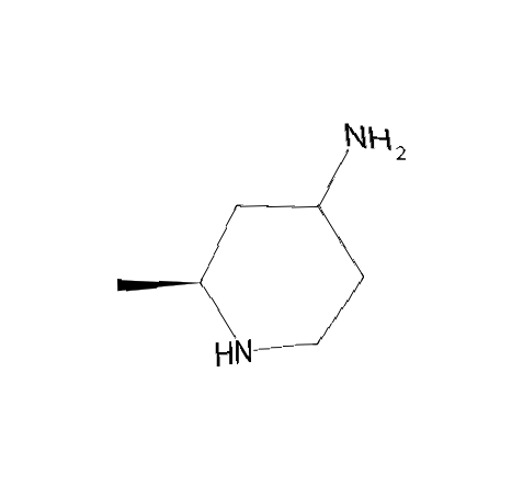 C[C@H]1CC(N)CCN1